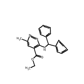 CCOC(=O)c1cc(C)nnc1NC(c1ccccc1)c1ccccc1